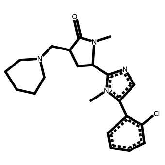 CN1C(=O)C(CN2CCCCC2)CC1c1ncc(-c2ccccc2Cl)n1C